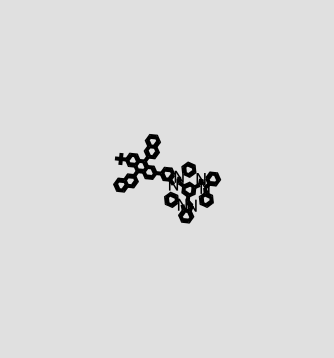 CC(C)(C)c1ccc2c(-c3ccc4ccccc4c3)c3cc(-c4ccc5c(c4)nc(-c4cc(-c6nc7ccccc7n6-c6ccccc6)cc(-c6nc7ccccc7n6-c6ccccc6)c4)n5-c4ccccc4)ccc3c(-c3ccc4ccccc4c3)c2c1